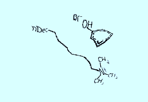 CCCCCCCCCCCCCCCC[N+](C)(C)C.Oc1ccccc1.[Br-]